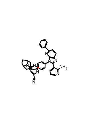 N#Cc1cc(N2C3CCC2CN(Cc2ccc(-n4c(-c5cccnc5N)nc5ccc(-c6ccccc6)nc54)cc2)C3)ncn1